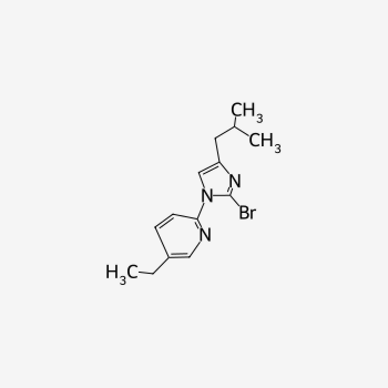 CCc1ccc(-n2cc(CC(C)C)nc2Br)nc1